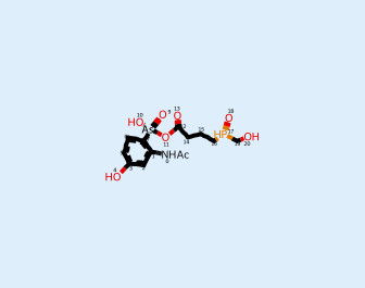 CC(=O)Nc1cc(O)ccc1[As](=O)(O)OC(=O)CCC[PH](=O)CO